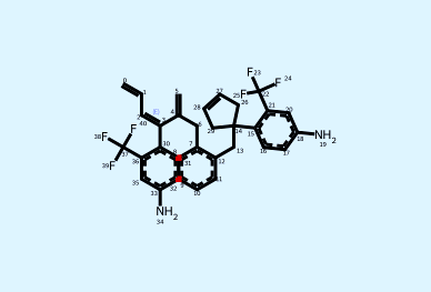 C=C/C=C(\C(=C)Cc1ccccc1CC1(c2ccc(N)cc2C(F)(F)F)CC=CC1)c1ccc(N)cc1C(F)(F)F